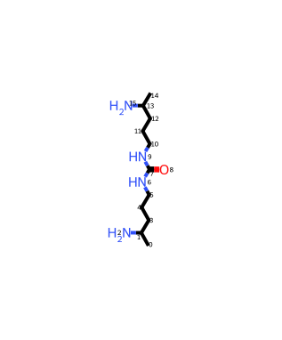 CC(N)CCCNC(=O)NCCCC(C)N